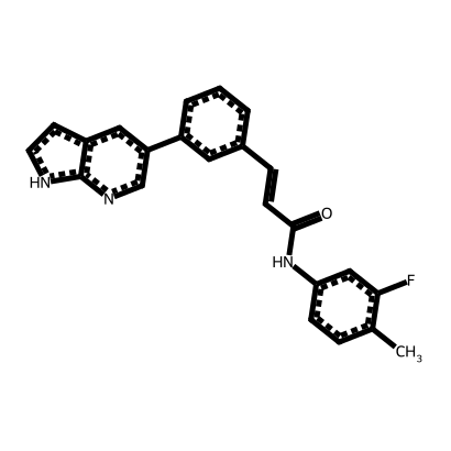 Cc1ccc(NC(=O)C=Cc2cccc(-c3cnc4[nH]ccc4c3)c2)cc1F